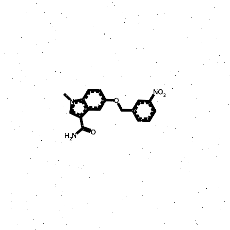 Cn1cc(C(N)=O)c2cc(OCc3cccc([N+](=O)[O-])c3)ccc21